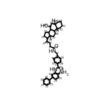 C[C@H](CCC(=O)NCc1ccc(C(=O)Nc2cc(-c3ccccc3)ccc2N)cc1)C1CCC2C3C(CC[C@@]21C)[C@@]1(C)CCCC[C@H]1C[C@@H]3O